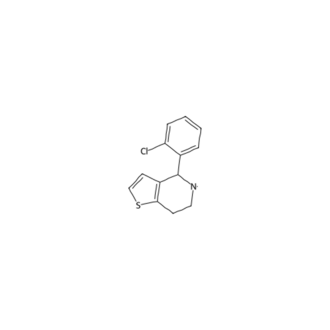 Clc1ccccc1C1[N]CCc2sccc21